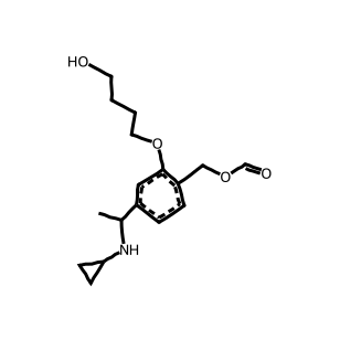 CC(NC1CC1)c1ccc(COC=O)c(OCCCCO)c1